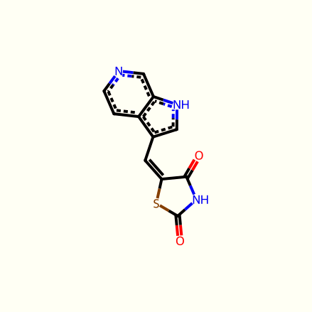 O=C1NC(=O)C(=Cc2c[nH]c3cnccc23)S1